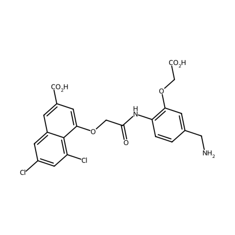 NCc1ccc(NC(=O)COc2cc(C(=O)O)cc3cc(Cl)cc(Cl)c23)c(OCC(=O)O)c1